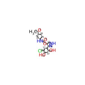 CC(=O)c1ccc(NC(=O)Oc2c[nH]nc2-c2cc(Cl)c(O)cc2O)cc1